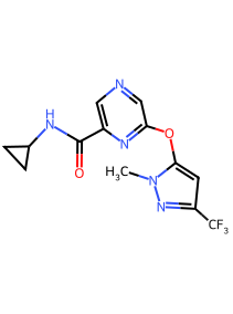 Cn1nc(C(F)(F)F)cc1Oc1cncc(C(=O)NC2CC2)n1